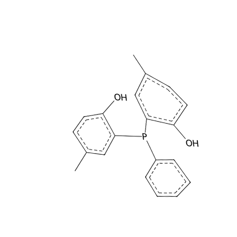 Cc1ccc(O)c(P(c2ccccc2)c2cc(C)ccc2O)c1